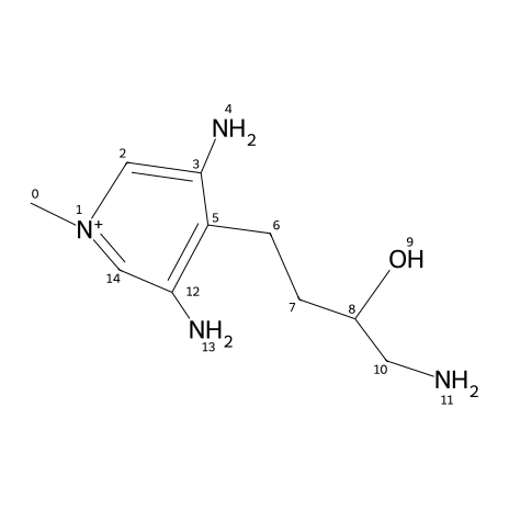 C[n+]1cc(N)c(CCC(O)CN)c(N)c1